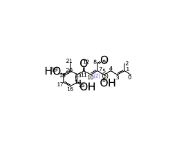 CC(C)=CC[C@H](O)/C(C=O)=C/C(=O)c1c(O)ccc(O)c1C